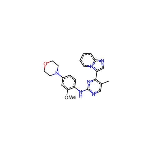 COc1cc(N2CCOCC2)ccc1Nc1ncc(C)c(-c2cnc3ccccn23)n1